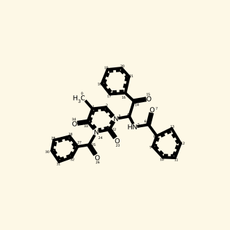 Cc1cn(C(NC(=O)c2ccccc2)C(=O)c2ccccc2)c(=O)n(C(=O)c2ccccc2)c1=O